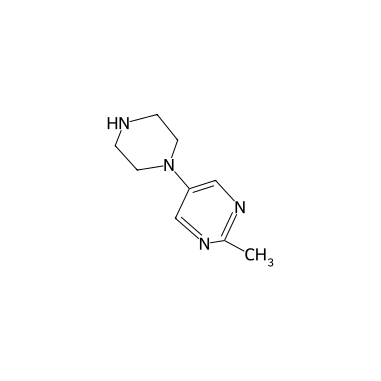 Cc1ncc(N2CCNCC2)cn1